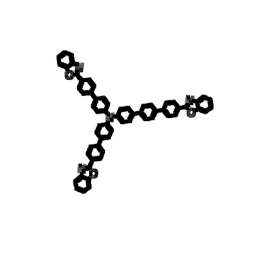 c1ccc2oc(-c3ccc(-c4ccc(-c5ccc(N(c6ccc(-c7ccc(-c8nc9ccccc9o8)cc7)cc6)c6ccc(-c7ccc(-c8nc9ccccc9o8)cc7)cc6)cc5)cc4)cc3)nc2c1